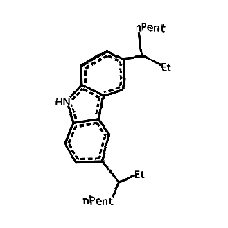 CCCCCC(CC)c1ccc2[nH]c3ccc(C(CC)CCCCC)cc3c2c1